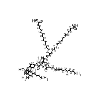 CCCCNc1nc(N)c2nc(O)n(Cc3ccc(NC(=O)[C@H](CCC(=O)NCCCNCCCCNCCCN)NC(=O)[C@@H](N)CSCC(CCCCCCCCCCCCCCCCC(=O)O)CCCCCCCCCCCCCCCC(=O)O)cc3)c2n1